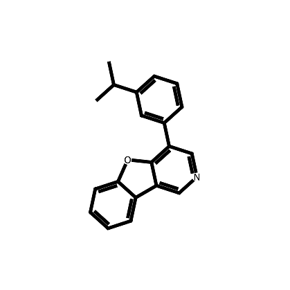 CC(C)c1cccc(-c2cncc3c2oc2ccccc23)c1